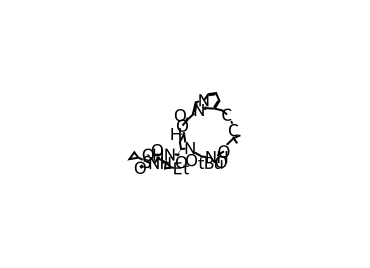 CCC1C[C@]1(NC(=O)[C@@H]1C[C@@H]2CN1C(=O)[C@H](C(C)(C)C)NC(=O)OCC(C)(C)CCCCc1cccn3cc(nc13)C(=O)O2)C(=O)NS(=O)(=O)C1CC1